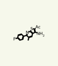 CC(=O)c1sc2nc(-c3ccc(F)cc3)c(C)cc2c1N